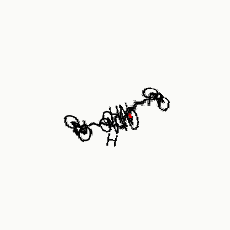 CC1(C)CC(NC(=O)OCCCCCN2C(=O)C=CC2=O)CCC1(C)CNC(=O)CCCCCCN1C(=O)C=CC1=O